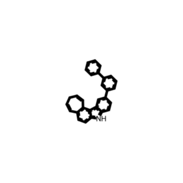 C1=Cc2ccc3[nH]c4ccc(-c5cccc(-c6ccccc6)c5)cc4c3c2C=CC1